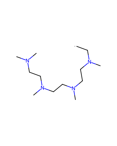 [CH2]CN(C)CCN(C)CCN(C)CCN(C)C